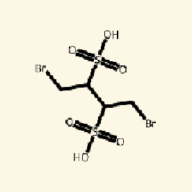 O=S(=O)(O)C(CBr)C(CBr)S(=O)(=O)O